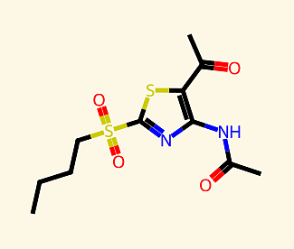 CCCCS(=O)(=O)c1nc(NC(C)=O)c(C(C)=O)s1